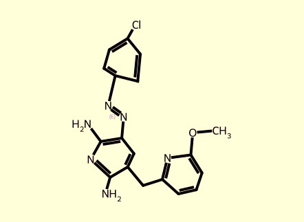 COc1cccc(Cc2cc(/N=N/c3ccc(Cl)cc3)c(N)nc2N)n1